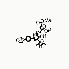 COC(=O)c1cc(COc2nc(-c3ccc(N4CCOCC4)cc3)cc(-c3oc(C)nc3C)c2C#N)c(O)o1